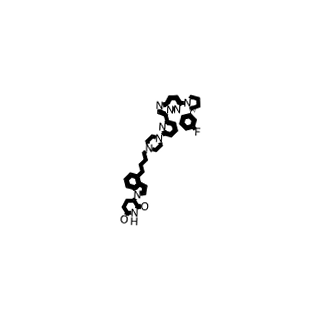 O=C1CCC(n2ccc3c(CCCCN4CCN(c5cccc(-c6cnc7ccc(N8CCC[C@@H]8c8cccc(F)c8)nn67)n5)CC4)cccc32)C(=O)N1